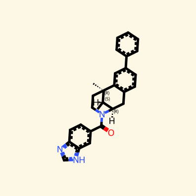 C[C@@H]1[C@H]2Cc3ccc(-c4ccccc4)cc3[C@]1(C)CCN2C(=O)c1ccc2nc[nH]c2c1